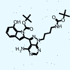 CC(C)(C)OC(=O)NCCCCn1nc(-c2cc3cccc(O)c3n2C(=O)OC(C)(C)C)c2c(N)ncnc21